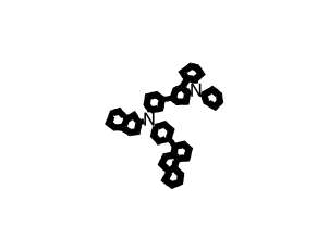 c1ccc(-n2c3ccccc3c3cc(-c4cccc(N(c5ccc(-c6cccc7c6ccc6ccccc67)cc5)c5ccc6ccccc6c5)c4)ccc32)cc1